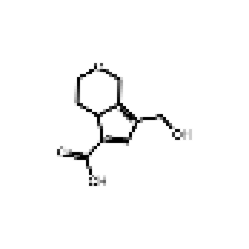 O=C(O)C1=CC(CO)=C2COCCC12